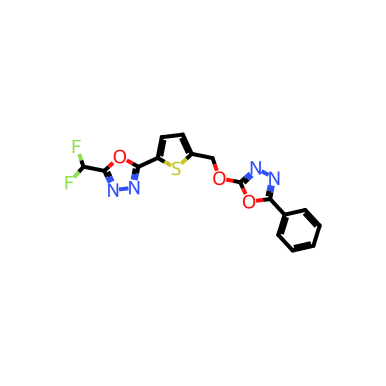 FC(F)c1nnc(-c2ccc(COc3nnc(-c4ccccc4)o3)s2)o1